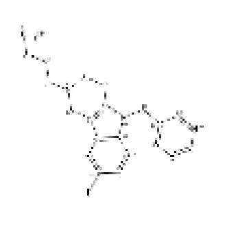 CCOC(=O)CCCN1CCc2c(c3cc(F)ccc3n2Cc2cccnc2)C1